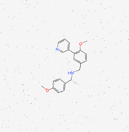 COc1ccc([C@@H](C)NCc2ccc(OC)c(-c3cccnc3)c2)cc1